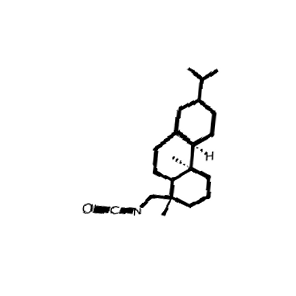 CC(C)C1CC[C@@H]2C(CCC3[C@@](C)(CN=C=O)CCC[C@@]32C)C1